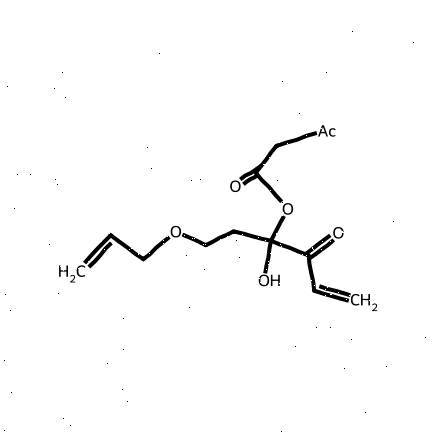 C=CCOCCC(O)(OC(=O)CC(C)=O)C(=O)C=C